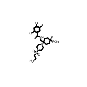 CCCS(=O)(=O)N1CCN(C2(CNC(=O)c3cc(F)c(Cl)cc3Cl)CCC(F)(F)CC2)CC1.Cl